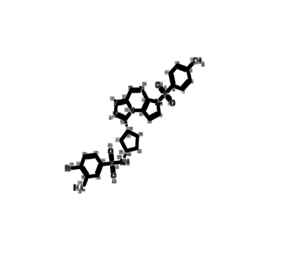 Cc1ccc(S(=O)(=O)n2ccc3c2ncc2nnc([C@@H]4CC[C@H](NS(=O)(=O)c5ccc(Br)c(C)c5)C4)n23)cc1